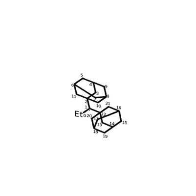 CC[C](C12CC3CC(CC(C3)C1)C2)C12CC3CC(CC(C3)C1)C2